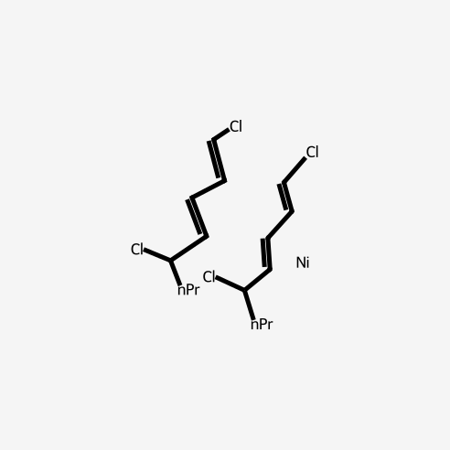 CCCC(Cl)C=CC=CCl.CCCC(Cl)C=CC=CCl.[Ni]